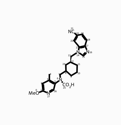 COc1cc(C)c(N(CC2CCC[C@H](Cn3cnc4ccc(C#N)cc43)C2)C(=O)O)cn1